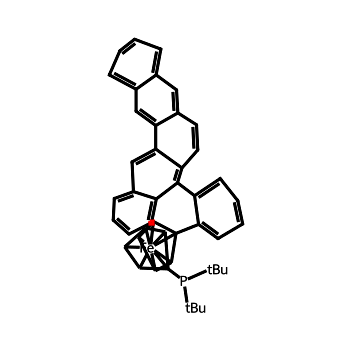 CC(C)(C)P(C(C)(C)C)[C]12[CH]3[CH]4[CH]5[CH]1[Fe]45321678[CH]2[CH]1[CH]6[C]7(c1ccccc1-c1c3ccccc3cc3c1ccc1cc4ccccc4cc13)[CH]28